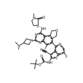 CN1CC[C@@H](Nc2nc(N3CC(N(C)C)C3)nc3c(F)c(-c4ncc(F)c5sc(NC(=O)OC(C)(C)C)c(C#N)c45)c4c(c23)COC4)C1=O